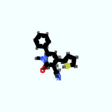 Cn1c(-c2ccccc2)cc(-c2cccs2)c(C#N)c1=O